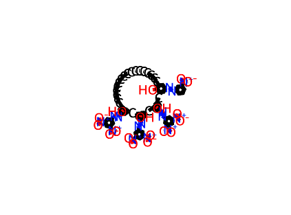 O=[N+]([O-])c1cccc(N=Nc2cc3c(O)c(c2)Cc2cc(N=Nc4cc([N+](=O)[O-])cc([N+](=O)[O-])c4)cc(c2O)Cc2cc(N=Nc4cc([N+](=O)[O-])cc([N+](=O)[O-])c4)cc(c2O)Cc2cc(N=Nc4cc([N+](=O)[O-])cc([N+](=O)[O-])c4)cc(c2O)CCCCCCCCCCCCCCCCC3)c1